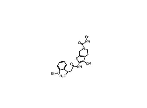 CCNC(=O)N1CCc2c(sc(NC(=O)CC(C)c3ccccc3OCC)c2C#N)C1